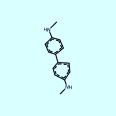 CNc1ccc(-c2ccc(NC)cc2)cc1